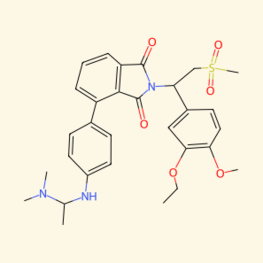 CCOc1cc(C(CS(C)(=O)=O)N2C(=O)c3cccc(-c4ccc(NC(C)N(C)C)cc4)c3C2=O)ccc1OC